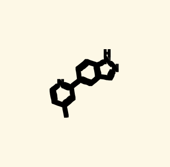 Cc1ccnc(-c2ccc3[nH]ncc3c2)c1